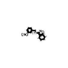 CCOc1cccc(CNc2noc3c2CCCC3)c1